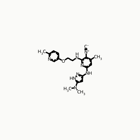 [C-]#[N+]c1c(C)cc(Nc2cc(N(C)C)[nH]n2)nc1NCCOc1ccc(C)nc1